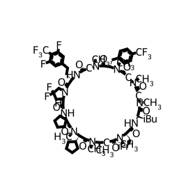 CC[C@H](C)[C@@H]1NC(=O)[C@H](CC(C)C)N(C)C(=O)C[C@@H](C)N(C)C(=O)[C@H](C2CCCC2)N(C)C(=O)C2(CCCC2)NC(=O)[C@@H]2CC(F)(F)CN2C(=O)[C@H](CCc2cc(F)c(C(F)(F)F)c(F)c2)NC(=O)CN(C)C(=O)[C@H](Cc2ccc(C(F)(F)F)cc2)N(C)C(=O)CN(C)C(=O)CN(C)C1=O